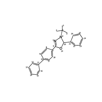 CC(C)(C)N1N=C(c2ccc(-c3ccccc3)cc2)OC1c1ccccc1